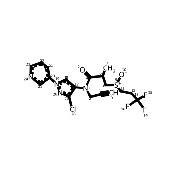 C#CCN(C(=O)C(C)C[S+]([O-])CCC(F)(F)F)c1cn(-c2cccnc2)nc1Cl